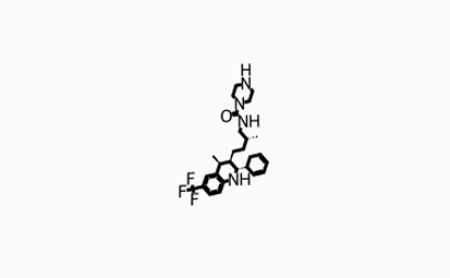 C[C@H](CC[C@@H]1[C@H](C)c2cc(C(F)(F)F)ccc2N[C@H]1C1C=CC=CC1)CNC(=O)N1CCNCC1